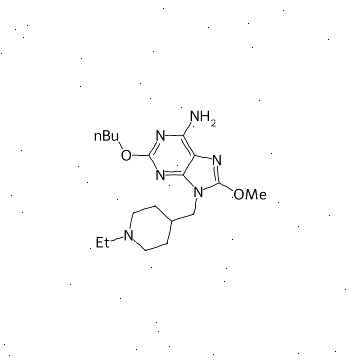 CCCCOc1nc(N)c2nc(OC)n(CC3CCN(CC)CC3)c2n1